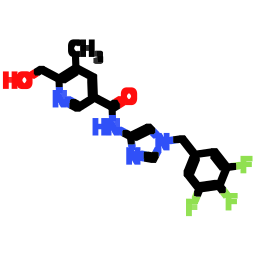 Cc1cc(C(=O)Nc2cn(Cc3cc(F)c(F)c(F)c3)cn2)cnc1CO